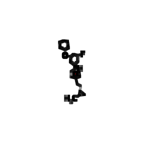 CC1C[C@H]1CCC12CC[PH](c3cc(F)cc(Oc4ccccc4)c3)(CC1)OC2